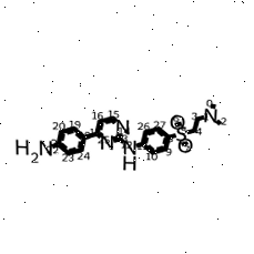 CN(C)CCS(=O)(=O)c1ccc(Nc2nccc(-c3ccc(N)cc3)n2)cc1